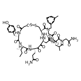 CC[C@H](C)[C@@H]1NC(=O)[C@H](Cc2ccc(O)cc2)NC(=O)CCSSC[C@@H](C(=O)N(CC(=O)N[C@@H](CC(C)C)C(=O)NCC(N)=O)Cc2cccc(C)c2)NN[C@@H](CC(N)=O)C(=O)C(=O)[C@H](CCC(N)=O)NC1=O